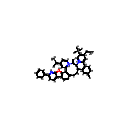 C=C1C2C(CCc3ccc4c(oc5nc(-c6ccccc6)ccc54)c3-c3cc(C(C)C(C)C)cc[n+]31)c1cc(C)ccc1-c1cc(CC(C)C)c([Si](C)(C)C)c[n+]12